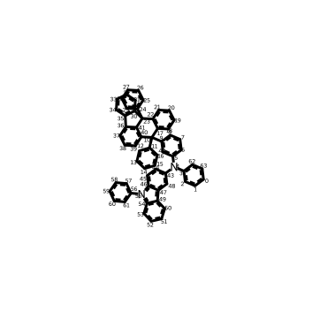 c1ccc(N(c2cccc(C3(c4ccccc4)c4ccccc4C4(c5ccccc5)c5ccccc5-c5cccc3c54)c2)c2ccc3c(c2)c2ccccc2n3-c2ccccc2)cc1